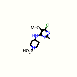 COc1c(Cl)nc(C)nc1NC1CCN(C(=O)O)CC1